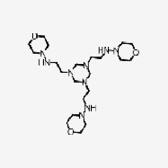 C(CN1CN(CCNN2CCOCC2)CN(CCNN2CCOCC2)C1)NN1CCOCC1